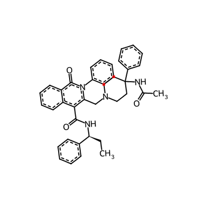 CC[C@H](NC(=O)c1c(CN2CCC(NC(C)=O)(c3ccccc3)CC2)n(-c2ccccc2)c(=O)c2ccccc12)c1ccccc1